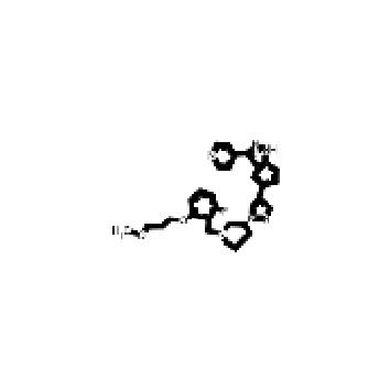 COCCCOc1cccc(F)c1CN1CCC[C@@H](n2cc(-c3ccc4[nH]nc(-c5ccncc5)c4c3)cn2)C1